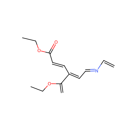 C=C/N=C/C=C(\C=C\C(=O)OCC)C(=C)OCC